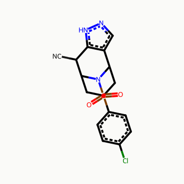 N#CC1c2[nH]ncc2C2CCCC1N2S(=O)(=O)c1ccc(Cl)cc1